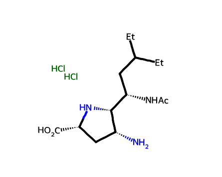 CCC(CC)C[C@H](NC(C)=O)[C@H]1N[C@@H](C(=O)O)C[C@H]1N.Cl.Cl